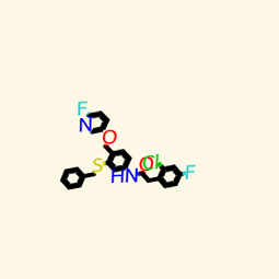 O=C(Cc1ccc(F)cc1Cl)Nc1ccc(COc2ccc(F)nc2)c(SCc2ccccc2)c1